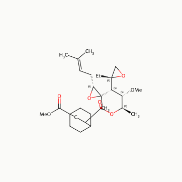 CC[C@@]1([C@H]([C@H](OC)[C@@H](C)OC(=O)C2CC3(C(=O)OC)CCC2CC3)C2(C)O[C@@H]2CC=C(C)C)CO1